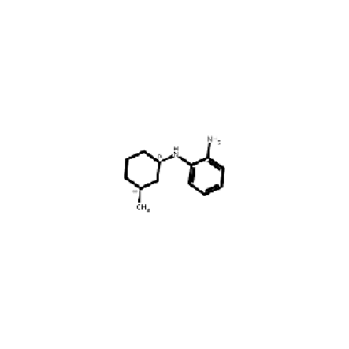 C[C@H]1CCC[C@@H](Nc2ccccc2N)C1